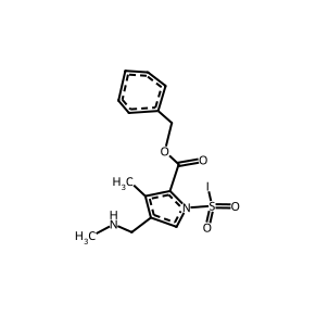 CNCc1cn(S(=O)(=O)I)c(C(=O)OCc2ccccc2)c1C